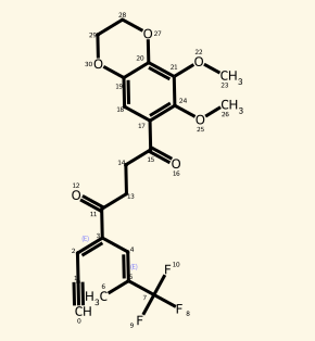 C#C/C=C(\C=C(/C)C(F)(F)F)C(=O)CCC(=O)c1cc2c(c(OC)c1OC)OCCO2